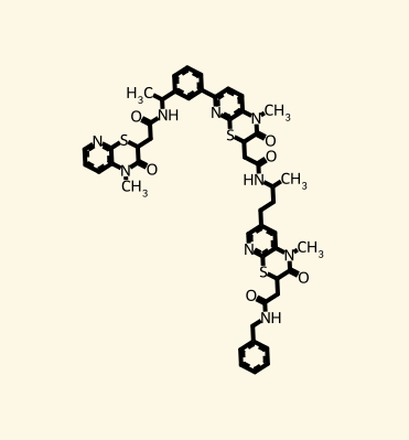 CC(CCc1cnc2c(c1)N(C)C(=O)C(CC(=O)NCc1ccccc1)S2)NC(=O)CC1Sc2nc(-c3cccc(C(C)NC(=O)CC4Sc5ncccc5N(C)C4=O)c3)ccc2N(C)C1=O